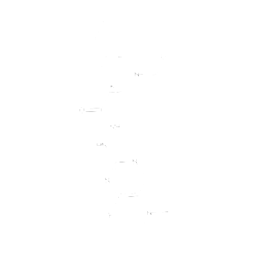 CCCCC[C@H](CN(O)C=O)C(=O)NNc1ncc(N(C)CC)c(F)n1